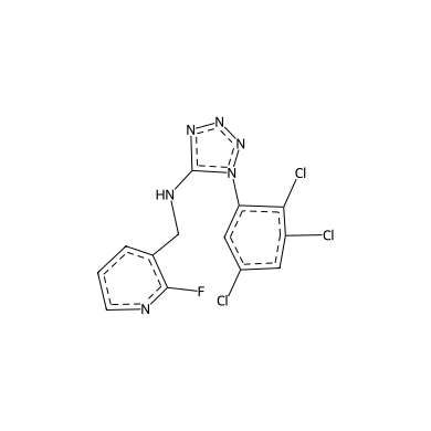 Fc1ncccc1CNc1nnnn1-c1cc(Cl)cc(Cl)c1Cl